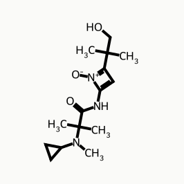 CN(C1CC1)C(C)(C)C(=O)NC1=CC(C(C)(C)CO)=[N+]1[O-]